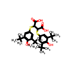 CC(C)(C)c1cc(SC(C(=O)O)C(Sc2cc(C(C)(C)C)c(O)c(C(C)(C)C)c2)C(=O)O)cc(C(C)(C)C)c1O